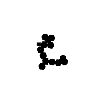 N#Cc1ccc(-c2ccccc2-c2cc3ccccc3c3ccccc23)cc1-c1cccc(-c2ccc(-c3nc(-c4ccccc4)nc(-c4ccc(-c5ccc6c(c5)-c5cccc7cccc-6c57)cc4)n3)cc2)c1